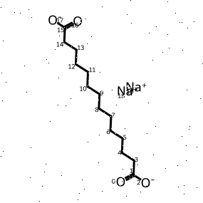 O=C([O-])CCCCCCCCCCCCC(=O)[O-].[Na+].[Na+]